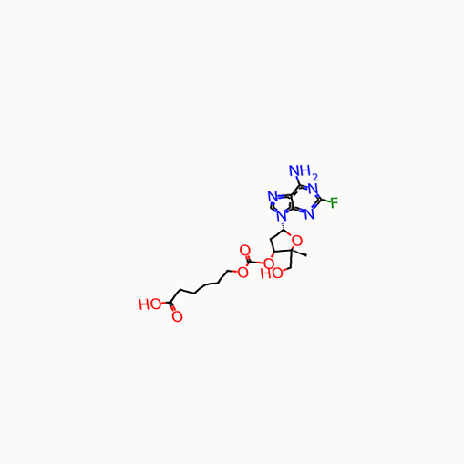 C[C@]1(CO)O[C@@H](n2cnc3c(N)nc(F)nc32)C[C@@H]1OC(=O)OCCCCCC(=O)O